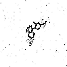 Cc1cc(C(F)(F)F)ccc1-c1ncnc2cc(S(=O)(=O)F)ccc12